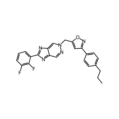 CCCc1ccc(-c2cc(Cn3cc4nc(-c5cccc(F)c5F)nc-4cn3)on2)cc1